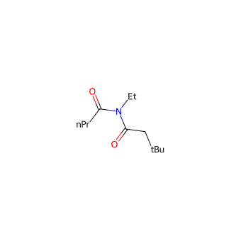 CCCC(=O)N(CC)C(=O)CC(C)(C)C